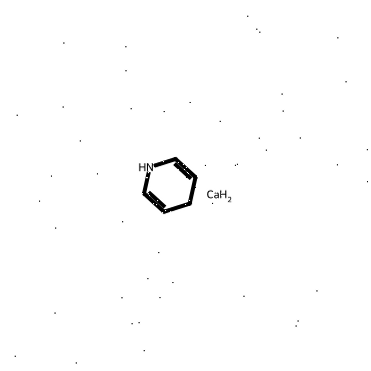 C1=CNC=CC1.[CaH2]